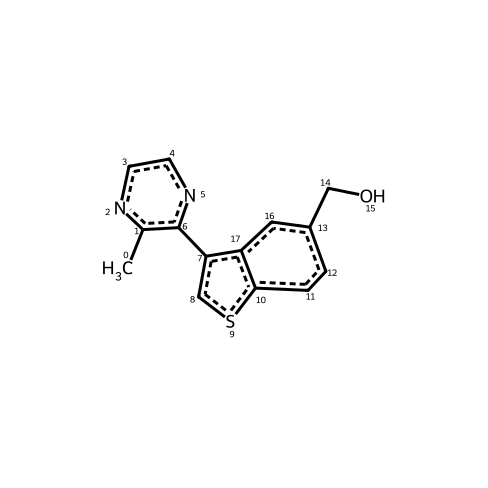 Cc1nccnc1-c1csc2ccc(CO)cc12